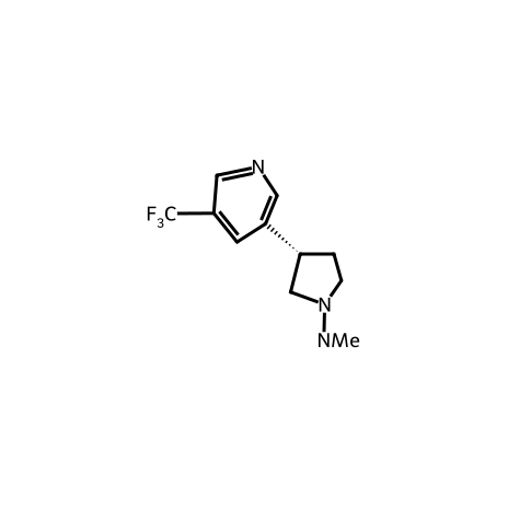 CNN1CC[C@@H](c2cncc(C(F)(F)F)c2)C1